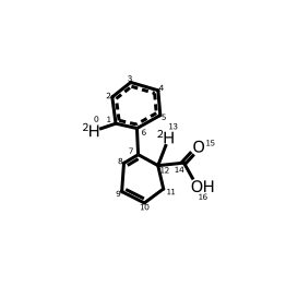 [2H]c1ccccc1C1=CC=CCC1([2H])C(=O)O